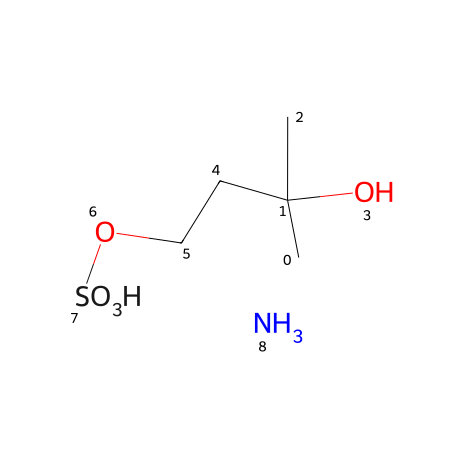 CC(C)(O)CCOS(=O)(=O)O.N